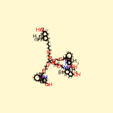 CCCC[C@]1(C)c2cc(O)ccc2C[C@H](CC)[C@@H]1NCCOCCOCC(COCCOCCCCC[C@H]1Cc2ccc(O)cc2[C@@](C)(CCC)C1)(COCCOCCN[C@H]1[C@H]2CCCCC[C@]1(C)c1cc(O)ccc1C2)COCCOCCN[C@H]1[C@H]2CCCCC[C@]1(C)c1cc(O)ccc1C2